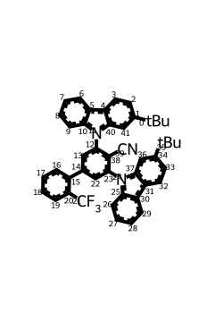 CC(C)(C)c1ccc2c3ccccc3n(-c3cc(-c4ccccc4C(F)(F)F)cc(-n4c5ccccc5c5ccc(C(C)(C)C)cc54)c3C#N)c2c1